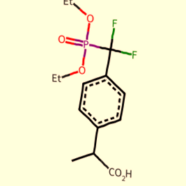 CCOP(=O)(OCC)C(F)(F)c1ccc(C(C)C(=O)O)cc1